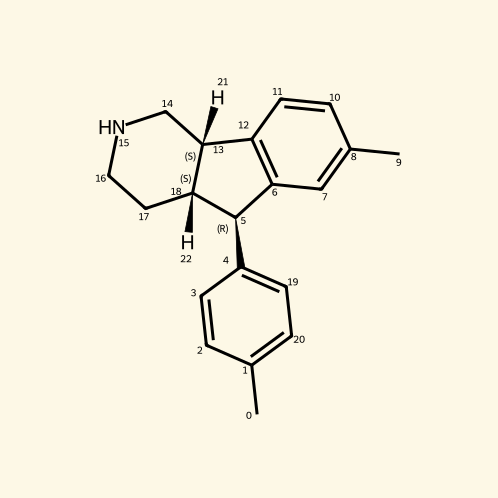 Cc1ccc([C@@H]2c3cc(C)ccc3[C@H]3CNCC[C@@H]23)cc1